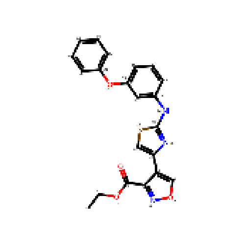 CCOC(=O)c1nocc1-c1csc(Nc2cccc(Oc3ccccc3)c2)n1